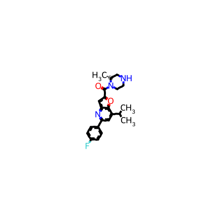 CC(C)c1cc(-c2ccc(F)cc2)nc2cc(C(=O)N3CCNC[C@H]3C)oc12